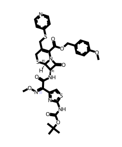 CO/N=C(\C(=O)N[C@@H]1C(=O)N2C(C(=O)OCc3ccc(OC)cc3)=C(CSc3ccncc3)CS[C@H]12)c1csc(NC(=O)OC(C)(C)C)n1